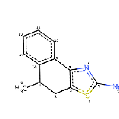 CC1Cc2sc(N)nc2-c2ccccc21